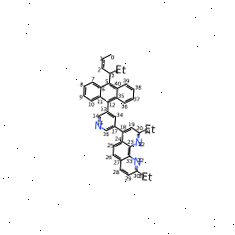 C/C=C\C(CC)c1c2ccccc2c(-c2cncc(-c3cc(CC)nc4c3ccc3ccc(CC)nc34)c2)c2ccccc12